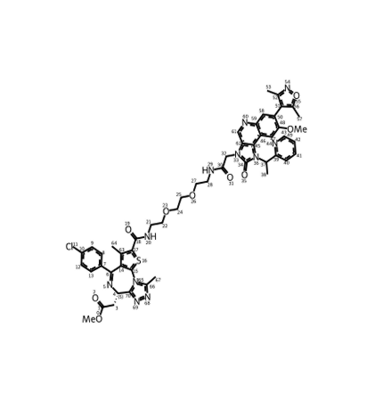 COC(=O)C[C@@H]1N=C(c2ccc(Cl)cc2)c2c(sc(C(=O)NCCOCCOCCNC(=O)Cn3c(=O)n(C(C)c4ccccn4)c4c5cc(OC)c(-c6c(C)noc6C)cc5ncc43)c2C)-n2c(C)nnc21